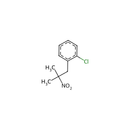 CC(C)(Cc1ccccc1Cl)[N+](=O)[O-]